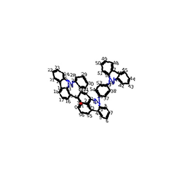 c1ccc(-c2ccccc2N(c2ccc(-c3cccc4c5ccccc5n(-c5ccccc5)c34)cc2)c2ccc(-n3c4ccccc4c4ccccc43)cc2)cc1